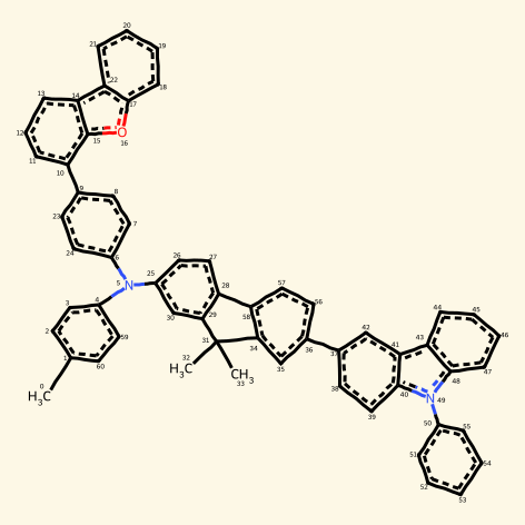 Cc1ccc(N(c2ccc(-c3cccc4c3oc3ccccc34)cc2)c2ccc3c(c2)C(C)(C)c2cc(-c4ccc5c(c4)c4ccccc4n5-c4ccccc4)ccc2-3)cc1